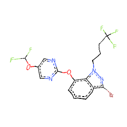 FC(F)Oc1cnc(Oc2cccc3c(Br)nn(CCCC(F)(F)F)c23)nc1